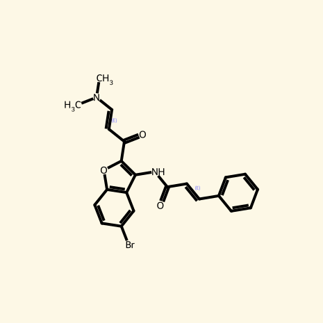 CN(C)/C=C/C(=O)c1oc2ccc(Br)cc2c1NC(=O)/C=C/c1ccccc1